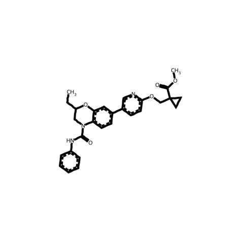 CCC1CN(C(=O)Nc2ccccc2)c2ccc(-c3ccc(OCC4(C(=O)OC)CC4)nc3)cc2O1